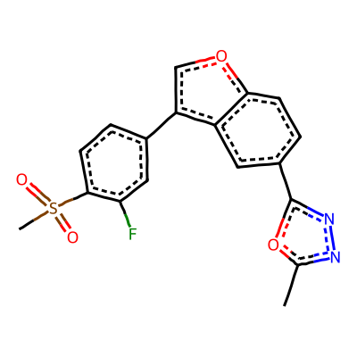 Cc1nnc(-c2ccc3occ(-c4ccc(S(C)(=O)=O)c(F)c4)c3c2)o1